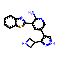 Nc1ncc(-c2c[nH]nc2C2CNC2)cc1-c1nc2ccccc2s1